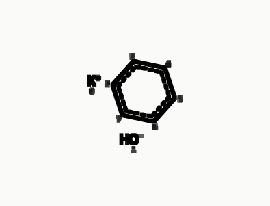 [K+].[OH-].c1ccccc1